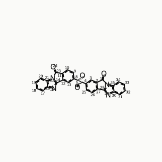 O=C1c2cc(S(=O)(=O)c3ccc4c(c3)-c3nc5ccccc5n3C4=O)ccc2-c2nc3ccccc3n21